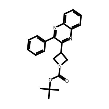 CC(C)(C)OC(=O)N1CC(c2nc3ccccc3nc2-c2ccccc2)C1